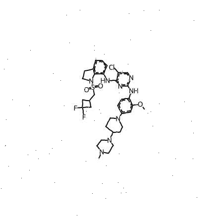 COc1cc(N2CCC(N3CCN(C)CC3)CC2)ccc1Nc1ncc(Cl)c(Nc2cccc3c2N(S(=O)(=O)CC2CC(F)(F)C2)CC3)n1